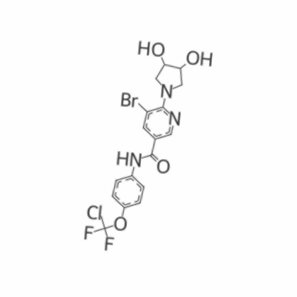 O=C(Nc1ccc(OC(F)(F)Cl)cc1)c1cnc(N2CC(O)C(O)C2)c(Br)c1